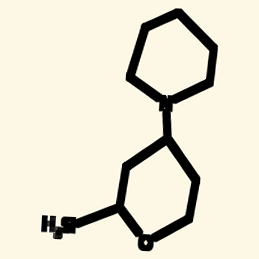 [SiH3]C1CC(N2CCCCC2)CCO1